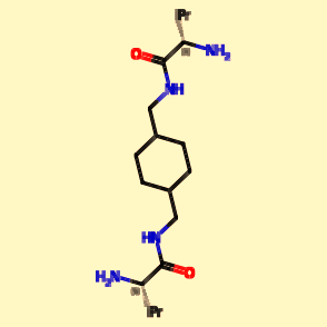 CC(C)[C@H](N)C(=O)NCC1CCC(CNC(=O)[C@@H](N)C(C)C)CC1